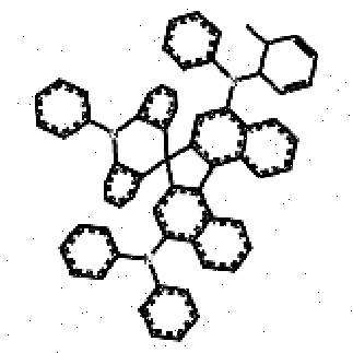 CC1C=CC=CC1N(c1ccccc1)c1cc2c(c3ccccc13)-c1c(cc(N(c3ccccc3)c3ccccc3)c3ccccc13)C21c2ccccc2N(c2ccccc2)c2ccccc21